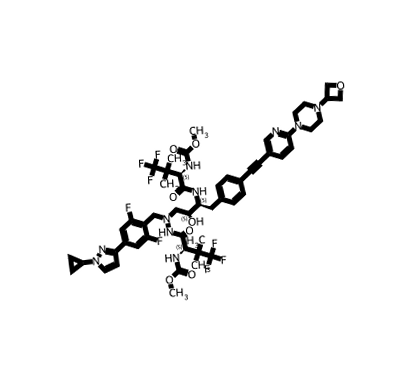 COC(=O)N[C@H](C(=O)N[C@@H](Cc1ccc(C#Cc2ccc(N3CCN(C4COC4)CC3)nc2)cc1)[C@@H](O)CN(Cc1c(F)cc(-c2ccn(C3CC3)n2)cc1F)NC(=O)[C@@H](NC(=O)OC)C(C)(C)C(F)(F)F)C(C)(C)C(F)(F)F